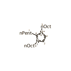 CCCCCCCCn1cc[n+](CCCCCCCC)c1CCCCC